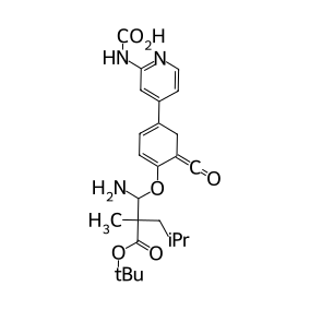 CC(C)CC(C)(C(=O)OC(C)(C)C)C(N)OC1=CC=C(c2ccnc(NC(=O)O)c2)CC1=C=O